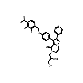 CC(C)c1ccc(COc2ccc(-c3c(-c4ccncc4)nn4c3C(=O)N(CC(O)CO)CC4)cc2)c(F)c1F